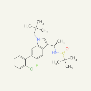 C[C@@H](N[S@@+]([O-])C(C)(C)C)c1cn(CC(C)(C)C)c2cc(-c3ccccc3Cl)c(F)cc12